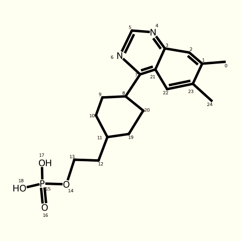 Cc1cc2ncnc(C3CCC(CCOP(=O)(O)O)CC3)c2cc1C